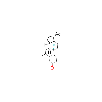 CC(=O)[C@H]1CC[C@H]2[C@@H]3CC(C)C4=CC(=O)CC[C@]4(C)[C@@]3(F)CC[C@]12C